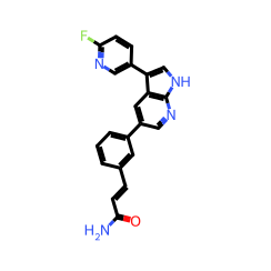 NC(=O)C=Cc1cccc(-c2cnc3[nH]cc(-c4ccc(F)nc4)c3c2)c1